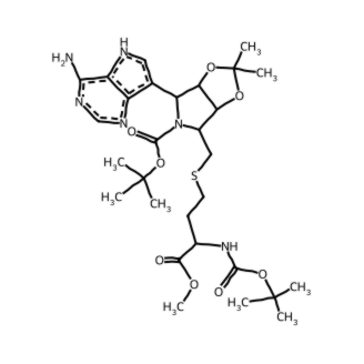 COC(=O)C(CCSCC1C2OC(C)(C)OC2C(c2c[nH]c3c(N)ncnc23)N1C(=O)OC(C)(C)C)NC(=O)OC(C)(C)C